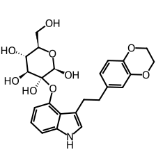 OC[C@H]1O[C@@H](O)[C@@](O)(Oc2cccc3[nH]cc(CCc4ccc5c(c4)OCCO5)c23)[C@@H](O)[C@@H]1O